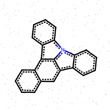 c1ccc2c(c1)cc1c3ccccc3n3c4ccccc4c2c13